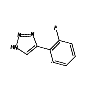 Fc1ccc[c]c1-c1c[nH]nn1